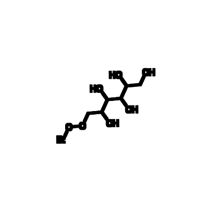 CCOOCC(O)C(O)C(O)C(O)CO